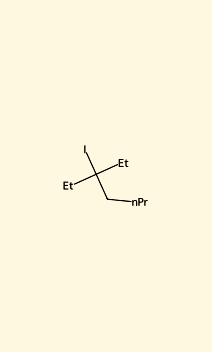 CCCCC(I)(CC)CC